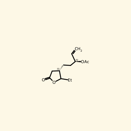 C=C[C@H](CC[C@H]1CC(=O)OC1CC)OC(C)=O